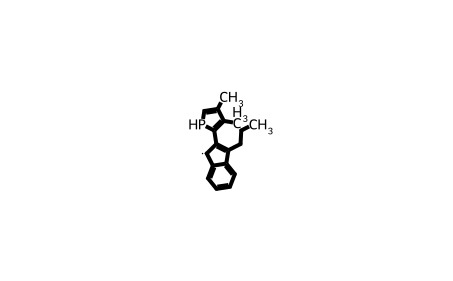 CCCC1=C(c2[pH]cc(C)c2C)[CH]c2ccccc21